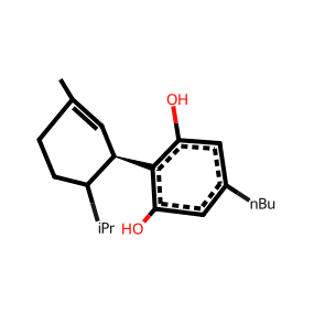 CCCCc1cc(O)c([C@@H]2C=C(C)CCC2C(C)C)c(O)c1